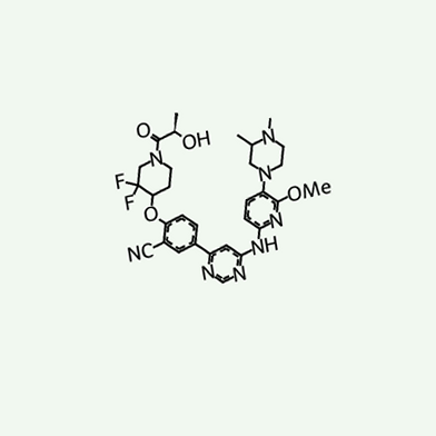 COc1nc(Nc2cc(-c3ccc(OC4CCN(C(=O)[C@@H](C)O)CC4(F)F)c(C#N)c3)ncn2)ccc1N1CCN(C)C(C)C1